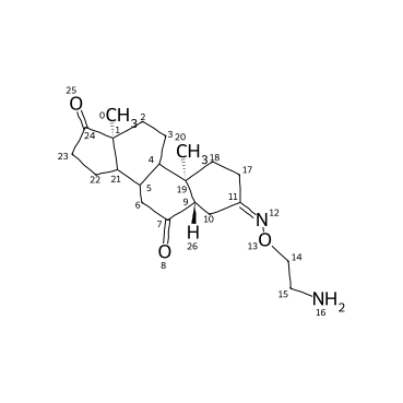 C[C@]12CCC3C(CC(=O)[C@H]4C/C(=N\OCCN)CC[C@]34C)C1CCC2=O